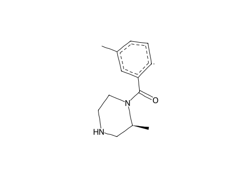 Cc1cc[c]c(C(=O)N2CCNC[C@@H]2C)c1